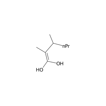 CCCC(C)C(C)=C(O)O